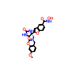 COc1ccc2c(c1)OCN(C[C@@]1(c3cc4cc(C(=O)NO)ccc4o3)NC(=O)NC1=O)C2